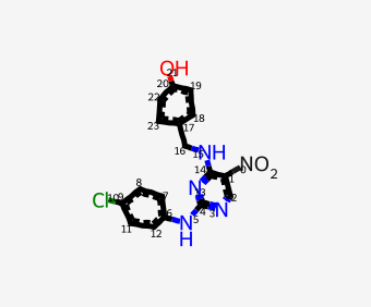 O=[N+]([O-])c1cnc(Nc2ccc(Cl)cc2)nc1NCc1ccc(O)cc1